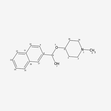 CN1CCC(OC(O)c2ccc3ccccc3c2)CC1